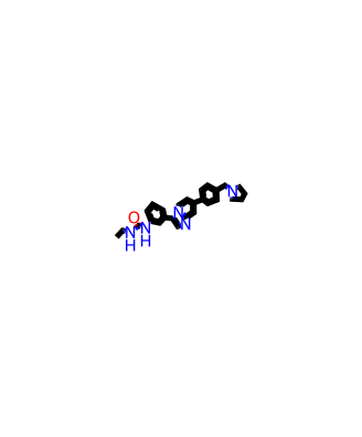 CCNC(=O)Nc1cccc(-c2cnc3cc(-c4ccc(CN5CCCC5)cc4)ccn23)c1